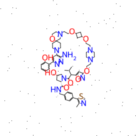 Cc1ncsc1-c1ccc([C@H](C)NC(=O)[C@@H]2C[C@@H](O)CN2C(=O)C(c2cc(OCCN3CCN(CCOC4CC(OCCN5CCOC6(CCN(c7cc(-c8ccccc8O)nnc7N)CC6)C5)C4)CC3)no2)C(C)C)cc1